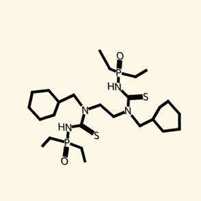 CCP(=O)(CC)NC(=S)N(CCN(CC1CCCCC1)C(=S)NP(=O)(CC)CC)CC1CCCCC1